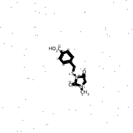 CN1CC(=O)N(SCc2ccc(C(=O)O)cc2)C1=O